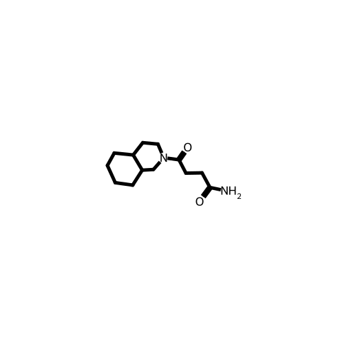 NC(=O)CCC(=O)N1CCC2CCCCC2C1